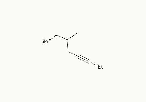 [CH2]C(C)CC(C)CC#CCC